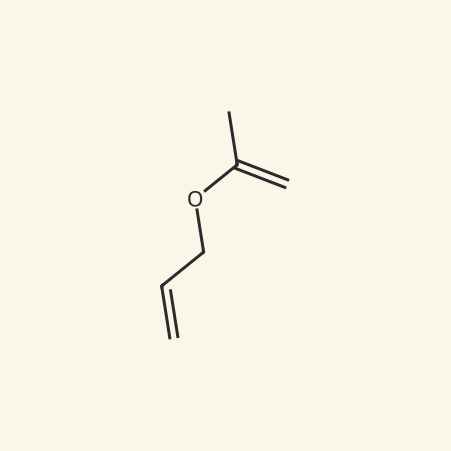 C=CCOC(=C)C